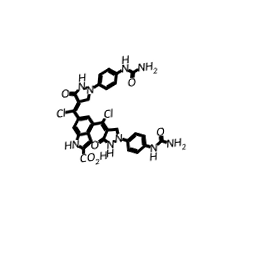 NC(=O)Nc1ccc(N2CC(=C(Cl)c3cc(C(Cl)=C4CN(c5ccc(NC(N)=O)cc5)NC4=O)c4cc(C(=O)O)[nH]c4c3)C(=O)N2)cc1